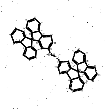 c1ccc2c(c1)-c1ccccc1C21c2ccccc2-c2ccc(NOc3ccc4c(c3)C3(c5ccccc5-c5ccccc53)c3ccccc3-4)cc21